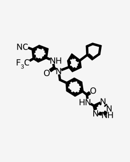 N#Cc1ccc(NC(=O)N(Cc2ccc(C(=O)Nc3nn[nH]n3)cc2)c2ccc(C3=CCCCC3)cc2)cc1C(F)(F)F